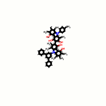 Bc1ccc(-n2c3c(B)c(C)c(B)c(O)c3c3c(O)c(-c4c(B)c(B)c5c(c4O)c4c(O)c(B)c(B)c(B)c4n5-c4cc(-c5ccccc5)cc(-c5ccccc5)c4)c(O)c(B)c32)cc1